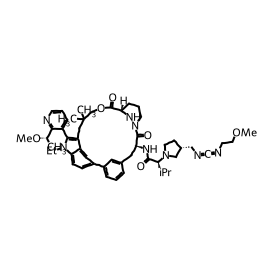 CCn1c(-c2cccnc2[C@H](C)OC)c2c3cc(ccc31)-c1cccc(c1)C[C@H](NC(=O)[C@H](C(C)C)N1CC[C@H](CN=C=NCCOC)C1)C(=O)N1CCC[C@H](N1)C(=O)OCC(C)(C)C2